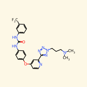 CN(C)CCCn1nnc(-c2cc(Oc3ccc(NC(=O)Nc4cccc(C(F)(F)F)c4)cc3)ccn2)n1